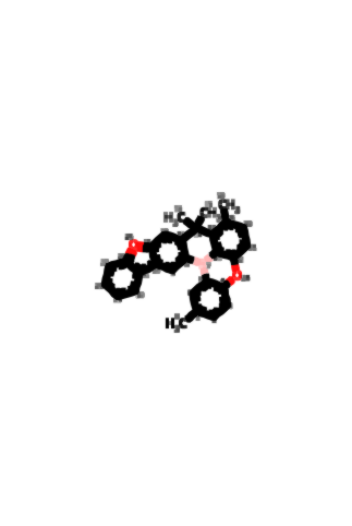 Cc1ccc2c(c1)B1c3cc4c(cc3C(C)(C)c3c(C)ccc(c31)O2)oc1ccccc14